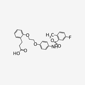 Cc1ccc(F)cc1S(=O)(=O)Nc1ccc(OCCOc2ccccc2CCC(=O)O)cc1